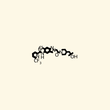 CC(C)(O)CC1CCN(C(=O)Cn2cc3cc(NC(=O)c4cccc(C(F)(F)F)n4)c(Cl)cc3n2)CC1